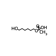 CP(=O)(O)OCCCCCCO